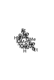 CCOCN1CC(OC(=O)Nc2ccc(Cc3ccc(NC(=O)OC4CN(COC)C(=O)N(COCC)C4)cc3)cc2)CN(COC)C1=O